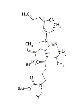 C=C/C=C(C#N)\C=C(/C=C)N1C=C(/C(=C\C)CC(C)C)C(=C(/C(=C)C)C(=C)CCCN(CC(C)C)C(=O)OC(C)(C)C)/C1=N\C